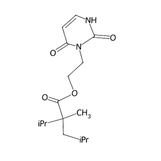 CC(C)CC(C)(C(=O)OCCn1c(=O)cc[nH]c1=O)C(C)C